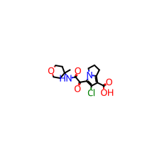 CC1(NC(=O)C(=O)c2c(Cl)c(C(=O)O)c3n2CCC3)CCOCC1